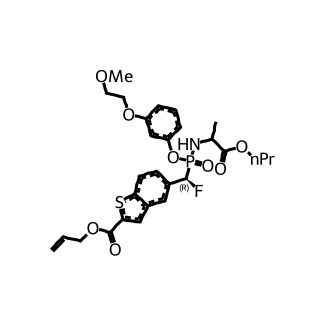 C=CCOC(=O)c1cc2cc([C@H](F)P(=O)(NC(C)C(=O)OCCC)Oc3cccc(OCCOC)c3)ccc2s1